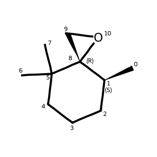 C[C@H]1CCCC(C)(C)[C@@]12CO2